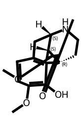 COc1ccc2c(c1O)[C@@]13CCN[C@@H](C2)[C@H]1CC(OC)C(=O)C3